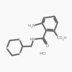 Cl.Nc1cccc(C(=O)O)c1C(=O)NCC1[I]C[I]C[I]1